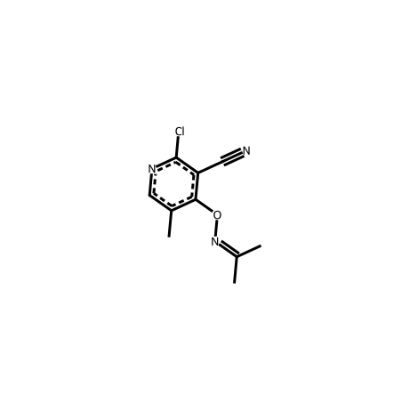 CC(C)=NOc1c(C)cnc(Cl)c1C#N